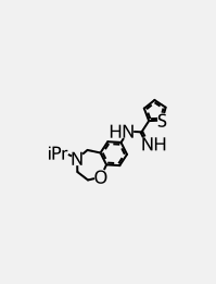 CC(C)N1CCOc2ccc(NC(=N)c3cccs3)cc2C1